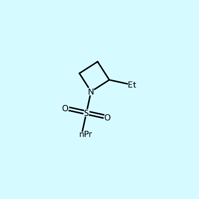 CCCS(=O)(=O)N1CCC1CC